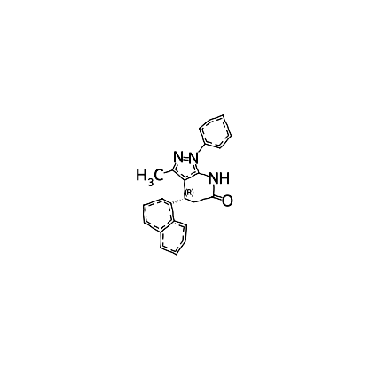 Cc1nn(-c2ccccc2)c2c1[C@@H](c1cccc3ccccc13)CC(=O)N2